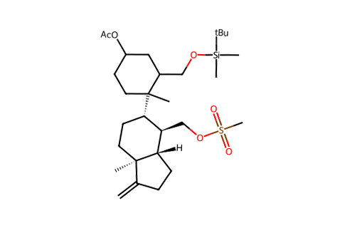 C=C1CC[C@H]2[C@H](COS(C)(=O)=O)[C@@H](C3(C)CCC(OC(C)=O)CC3CO[Si](C)(C)C(C)(C)C)CC[C@]12C